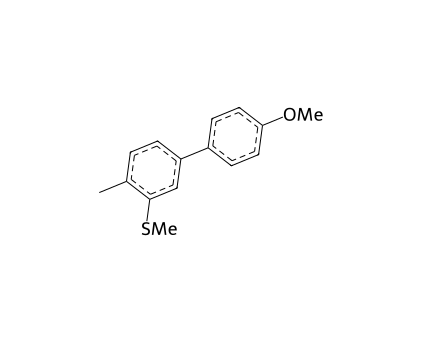 COc1ccc(-c2ccc(C)c(SC)c2)cc1